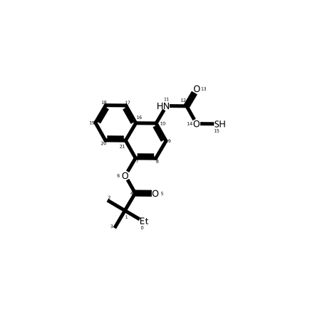 CCC(C)(C)C(=O)Oc1ccc(NC(=O)OS)c2ccccc12